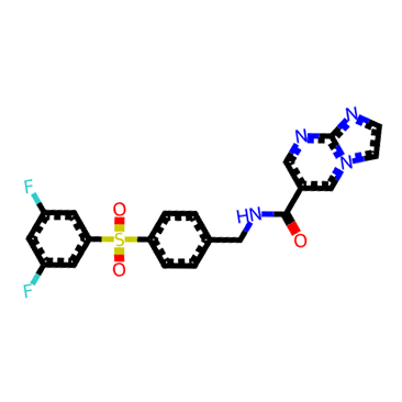 O=C(NCc1ccc(S(=O)(=O)c2cc(F)cc(F)c2)cc1)c1cnc2nccn2c1